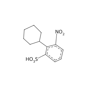 O=[N+]([O-])c1cccc(S(=O)(=O)O)c1C1CCCCC1